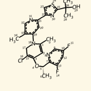 CC1=CC(O[C@@H](C)c2ncc(F)cc2F)=C(Cl)CN1c1cc(-c2csc(C(C)(C)O)n2)ncc1C